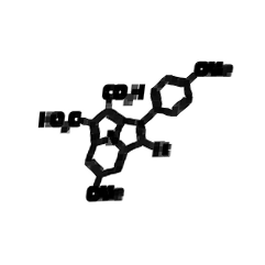 CCc1c(-c2ccc(OC)cc2)c2c(C(=O)O)c(C(=O)O)c3cc(OC)cc1n32